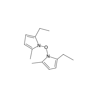 CCc1ccc(C)n1On1c(C)ccc1CC